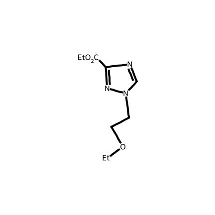 CCOCCn1cnc(C(=O)OCC)n1